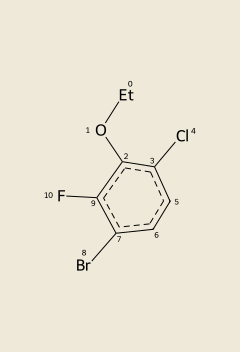 CCOc1c(Cl)ccc(Br)c1F